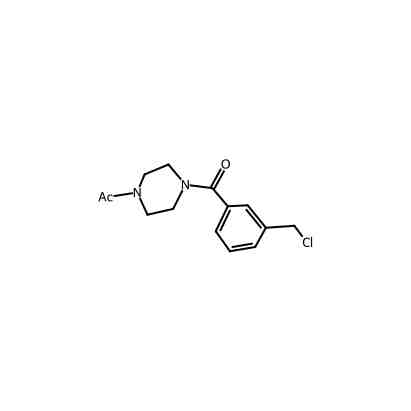 CC(=O)N1CCN(C(=O)c2cccc(CCl)c2)CC1